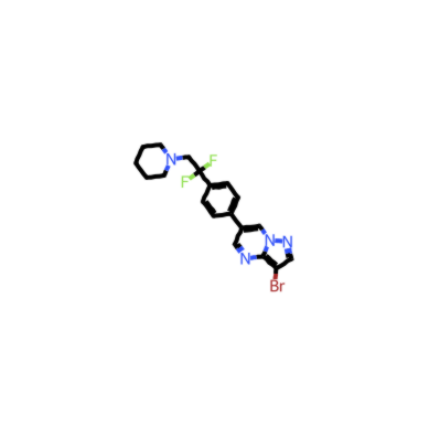 FC(F)(CN1CCCCC1)c1ccc(-c2cnc3c(Br)cnn3c2)cc1